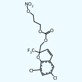 O=C(OCCCO[N+](=O)[O-])OCC1(C(F)(F)F)C=Cc2cc(Cl)cc(Cl)c2O1